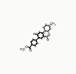 COC(=O)c1ccc(-c2cc([N+](=O)[O-])c(N3CCN(C)CC3)cc2F)cc1